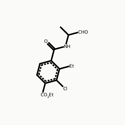 CCOC(=O)c1ccc(C(=O)NC(C)C=O)c(CC)c1Cl